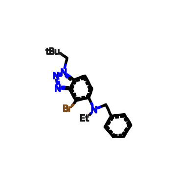 CCN(Cc1ccccc1)c1ccc2c(nnn2CC(C)(C)C)c1Br